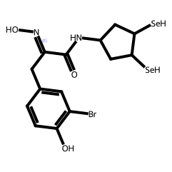 O=C(NC1CC([SeH])C([SeH])C1)/C(Cc1ccc(O)c(Br)c1)=N/O